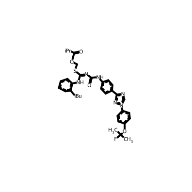 CCC(C)c1ccccc1N/C(=N\C(=O)Nc1ccc(-c2ncn(-c3ccc(OC(C)(C)F)cc3)n2)cc1)SCOC(=O)C(C)C